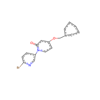 O=c1cc(OCc2ccccc2)ccn1-c1ccc(Br)nc1